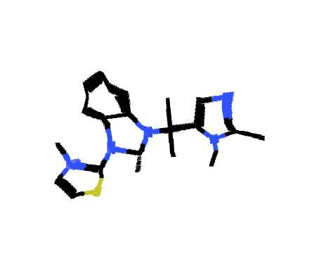 Cc1ncc(C(C)(C)N2c3ccccc3N(c3scc[n+]3C)[C@H]2C)n1C